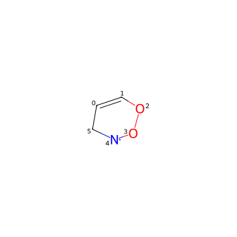 C1=COO[N]C1